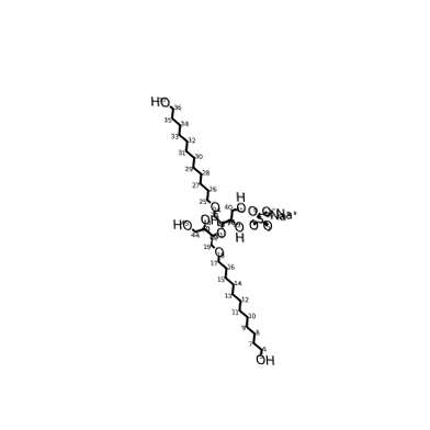 O=S(=O)([O-])[O-].OCCCCCCCCCCCCOC[C@H](O[C@@H](COCCCCCCCCCCCCO)[C@H](O)CO)[C@H](O)CO.[Na+].[Na+]